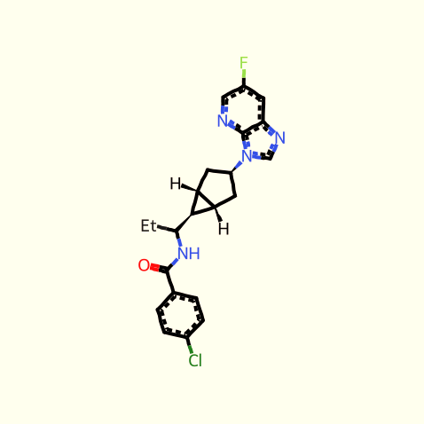 CCC(NC(=O)c1ccc(Cl)cc1)[C@H]1[C@@H]2C[C@@H](n3cnc4cc(F)cnc43)C[C@@H]21